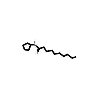 CCCCCCCCCC(=O)NC1CCCC1